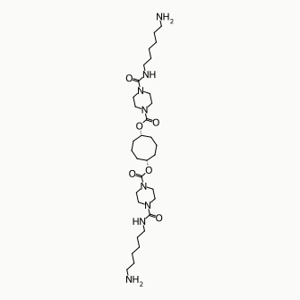 NCCCCCCNC(=O)N1CCN(C(=O)O[C@H]2CCC[C@@H](OC(=O)N3CCN(C(=O)NCCCCCCN)CC3)CCC2)CC1